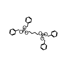 c1ccc(COP(OCCCCOP(OCc2ccccc2)OCc2ccccc2)OCc2ccccc2)cc1